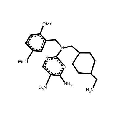 COc1ccc(OC)c(CN(CC2CCC(CN)CC2)c2ncc([N+](=O)[O-])c(N)n2)c1